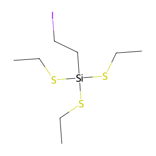 CCS[Si](CCI)(SCC)SCC